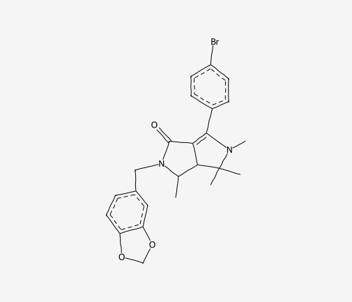 CC1C2C(=C(c3ccc(Br)cc3)N(C)C2(C)C)C(=O)N1Cc1ccc2c(c1)OCO2